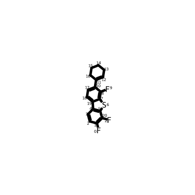 Fc1ccc2c(sc3c(F)c(C4=CCCCC4)ccc32)c1F